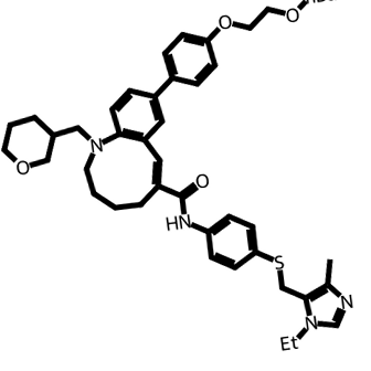 CCCCOCCOc1ccc(-c2ccc3c(c2)/C=C(/C(=O)Nc2ccc(SCc4c(C)ncn4CC)cc2)CCCCN3CC2CCCOC2)cc1